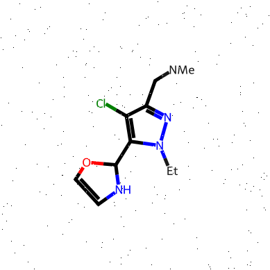 CCn1nc(CNC)c(Cl)c1C1NC=CO1